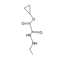 CCNNC(=O)C(=O)OC1CC1